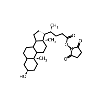 C[C@H](CCC(=O)ON1C(=O)CCC1=O)[C@H]1CCC2C3CCC4C[C@H](O)CC[C@]4(C)C3CC[C@@]21C